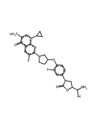 CC(=O)C(N)C1CN(c2ccc(OC3CCN(c4nc5c(cc4F)c(=O)c(C(=O)O)cn5C4CC4)C3)c(F)c2)C(=O)O1